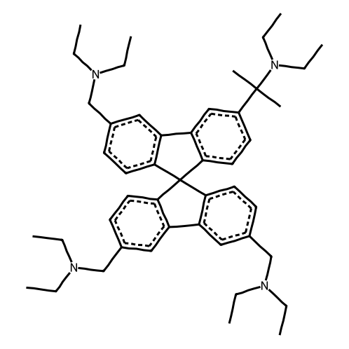 CCN(CC)Cc1ccc2c(c1)-c1cc(CN(CC)CC)ccc1C21c2ccc(CN(CC)CC)cc2-c2cc(C(C)(C)N(CC)CC)ccc21